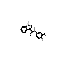 O=C(Nc1ccc(Cl)c(Cl)c1)c1n[nH]c2ccccc12